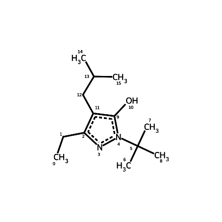 CCc1nn(C(C)(C)C)c(O)c1CC(C)C